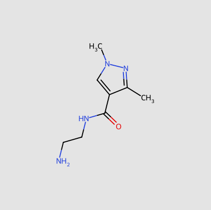 Cc1nn(C)cc1C(=O)NCCN